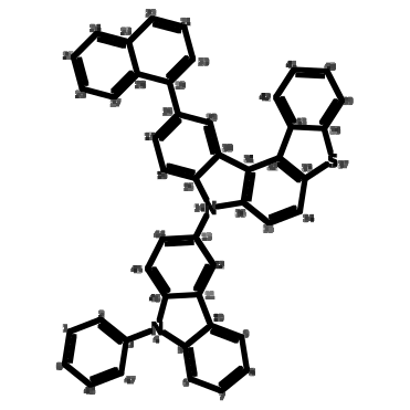 c1ccc(-n2c3ccccc3c3cc(-n4c5ccc(-c6cccc7ccccc67)cc5c5c6c(ccc54)sc4ccccc46)ccc32)cc1